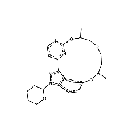 CC1CCOCC(C)Oc2nccc(n2)-c2nn(C3CCCCO3)c3ccc(cc23)O1